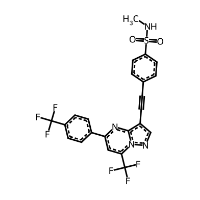 CNS(=O)(=O)c1ccc(C#Cc2cnn3c(C(F)(F)F)cc(-c4ccc(C(F)(F)F)cc4)nc23)cc1